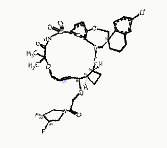 CC1(C)OC/C=C/[C@H](OCC(=O)N2C[C@@H](F)[C@@H](F)C2)[C@@H]2CC[C@H]2CN2C[C@@]3(CCCc4cc(Cl)ccc43)COc3ccc(cc32)S(=O)(=O)NC1=O